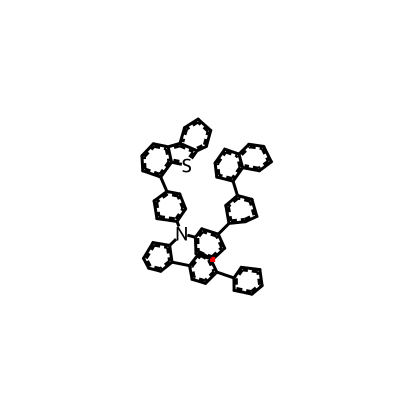 c1ccc(-c2ccc(-c3ccccc3N(c3ccc(-c4cccc5c4sc4ccccc45)cc3)c3cccc(-c4cccc(-c5cccc6ccccc56)c4)c3)cc2)cc1